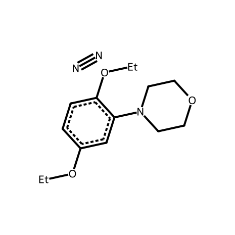 CCOc1ccc(OCC)c(N2CCOCC2)c1.N#N